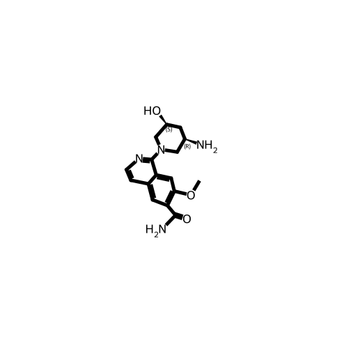 COc1cc2c(N3C[C@H](N)C[C@H](O)C3)nccc2cc1C(N)=O